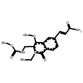 CCCCOc1c(CNC(=O)OC(C)(C)C)n(CC(C)(C)C)c(=O)c2ccc(C=CC(N)=O)cc12